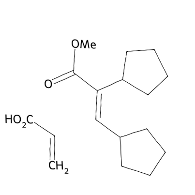 C=CC(=O)O.COC(=O)C(=CC1CCCC1)C1CCCC1